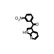 O=C(c1cccc([N+](=O)[O-])c1)c1c[nH]c2ncccc12